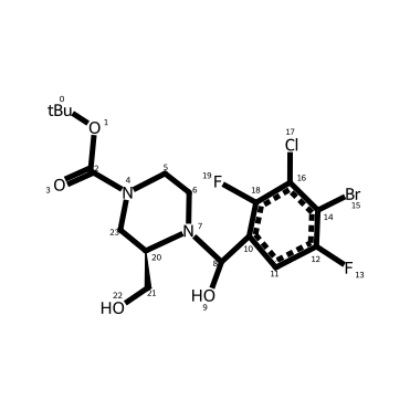 CC(C)(C)OC(=O)N1CCN(C(O)c2cc(F)c(Br)c(Cl)c2F)[C@@H](CO)C1